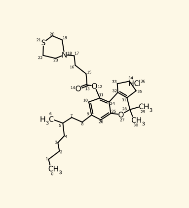 CCCCCC(C)CCc1cc(OC(=O)CCCN2CCSCC2)c2c(c1)OC(C)(C)C1=C2CCC1.Cl